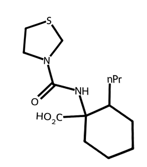 CCCC1CCCCC1(NC(=O)N1CCSC1)C(=O)O